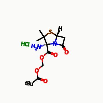 CC(C)(C)C(=O)OCOC(=O)[C@]1(N)N2C(=O)C[C@H]2SC1(C)C.Cl